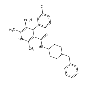 CC1=C(C(=O)O)C(c2cccc(Cl)c2)C(C(=O)NC2CCN(Cc3ccccc3)CC2)=C(C)N1